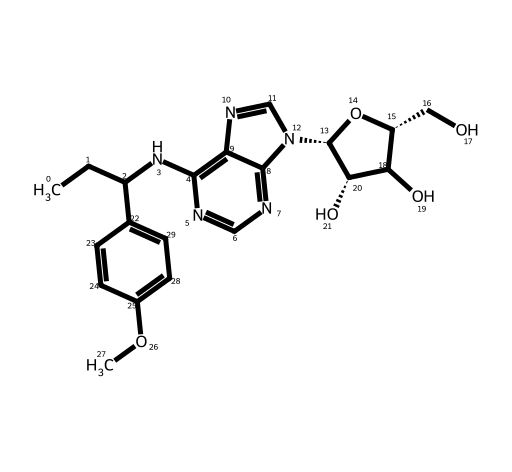 CCC(Nc1ncnc2c1ncn2[C@@H]1O[C@H](CO)C(O)[C@@H]1O)c1ccc(OC)cc1